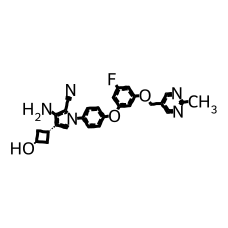 Cc1ncc(COc2cc(F)cc(Oc3ccc(-n4cc([C@H]5C[C@@H](O)C5)c(N)c4C#N)cc3)c2)cn1